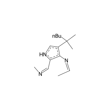 C/C=N\c1c(C(C)(C)CCCC)c[nH]c1/C=N\C